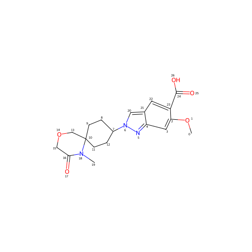 COc1cc2nn(C3CCC4(CC3)COCC(=O)N4C)cc2cc1C(=O)O